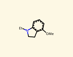 CCN1CCc2c(OC)cccc21